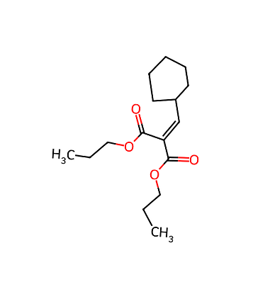 CCCOC(=O)C(=CC1CCCCC1)C(=O)OCCC